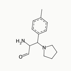 Cc1ccc(C(C(N)C=O)N2CCCC2)cc1